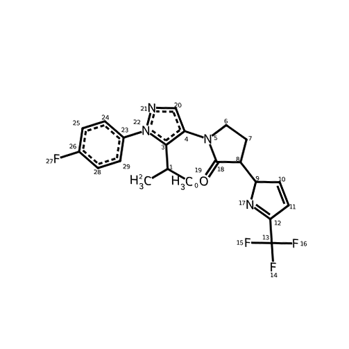 CC(C)c1c(N2CCC(C3C=CC(C(F)(F)F)=N3)C2=O)cnn1-c1ccc(F)cc1